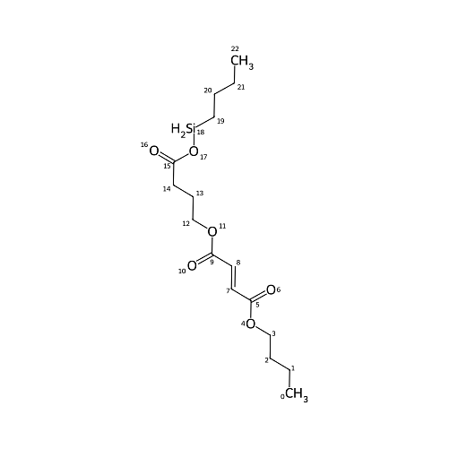 CCCCOC(=O)/C=C/C(=O)OCCCC(=O)O[SiH2]CCCC